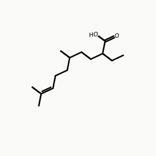 CCC(CCC(C)CCC=C(C)C)C(=O)O